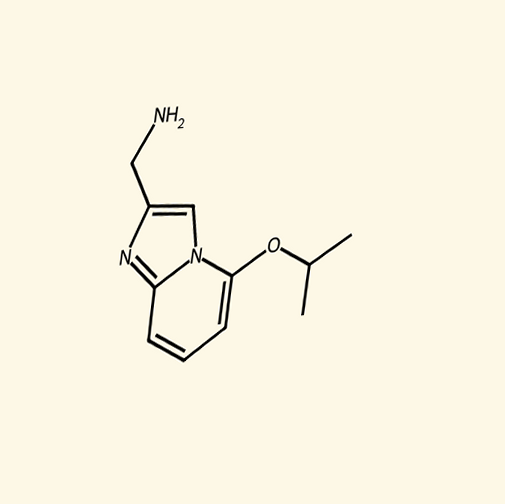 CC(C)Oc1cccc2nc(CN)cn12